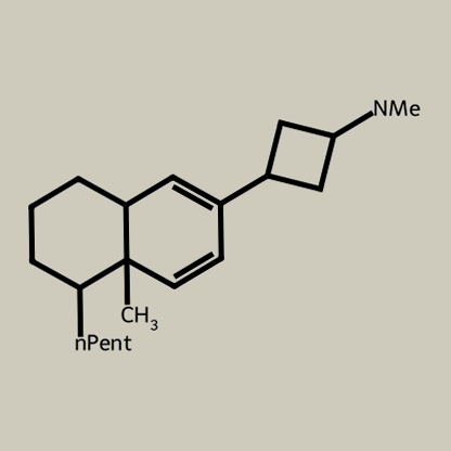 CCCCCC1CCCC2C=C(C3CC(NC)C3)C=CC21C